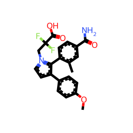 COc1ccc(-c2ccn(CC(F)(F)C(=O)O)c2-c2ccc(C(N)=O)cc2C)cc1